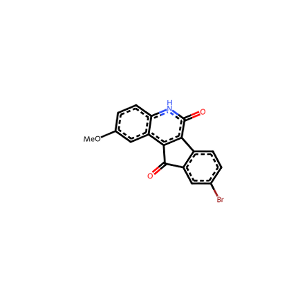 COc1ccc2[nH]c(=O)c3c(c2c1)C(=O)c1cc(Br)ccc1-3